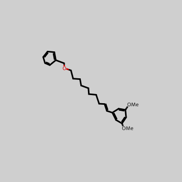 COc1cc(C=CCCCCCCCCOCc2ccccc2)cc(OC)c1